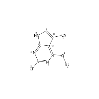 CCOc1nc(Cl)nc2[nH]cc(C#N)c12